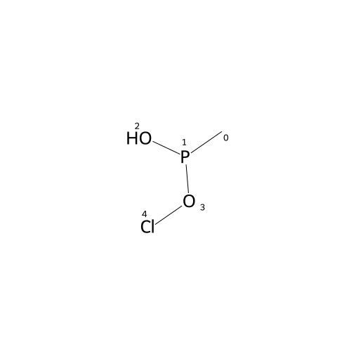 CP(O)OCl